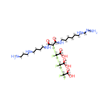 NCCCNCCCCNC(=O)C(F)C(=O)NCCCCCCNC=NN.O=C(O)C(F)(F)F.O=C(O)C(F)(F)F.O=C(O)C(F)(F)F